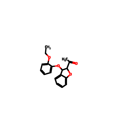 CCOc1ccccc1OC1c2ccccc2OC1C(C)=O